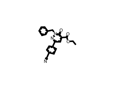 CCOC(=O)c1cc(-c2ccc(C#N)cc2)nn(Cc2ccccc2)c1=O